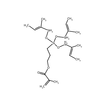 C=C(C)C(=O)OCCC[Si](O[SiH2]C(C)=CC)(O[SiH2]C(C)=CC)O[SiH2]C(C)=CC